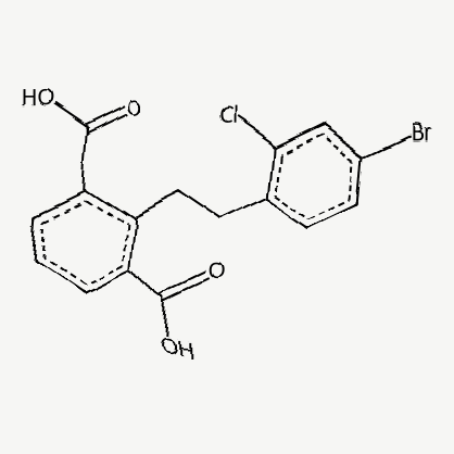 O=C(O)c1cccc(C(=O)O)c1CCc1ccc(Br)cc1Cl